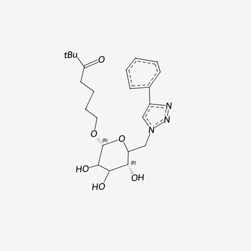 CC(C)(C)C(=O)CCCCO[C@@H]1OC(Cn2cc(-c3ccccc3)nn2)[C@H](O)C(O)C1O